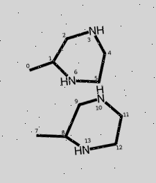 CC1CNCCN1.CC1CNCCN1